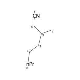 CCCCCC(C)CC#N